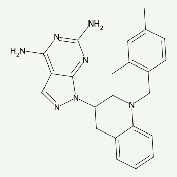 Cc1ccc(CN2CC(n3ncc4c(N)nc(N)nc43)Cc3ccccc32)c(C)c1